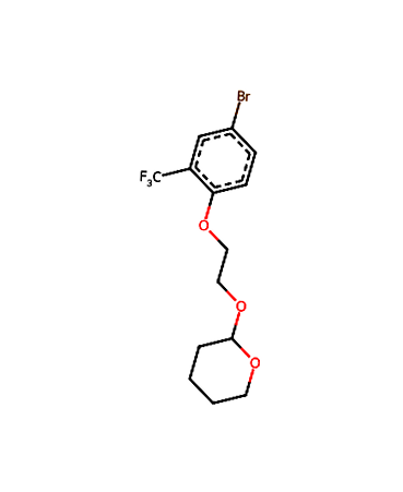 FC(F)(F)c1cc(Br)ccc1OCCOC1CCCCO1